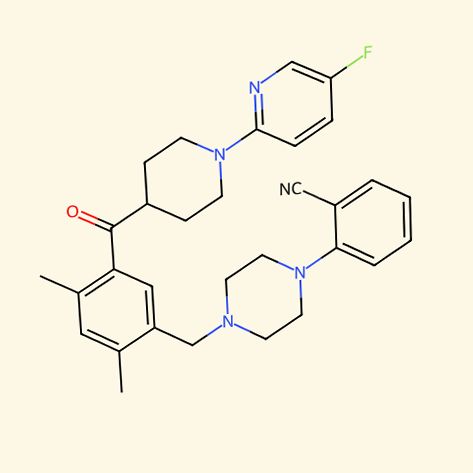 Cc1cc(C)c(C(=O)C2CCN(c3ccc(F)cn3)CC2)cc1CN1CCN(c2ccccc2C#N)CC1